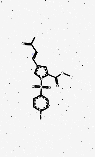 COC(=O)c1cc(/C=C/C(C)=O)cn1S(=O)(=O)c1ccc(C)cc1